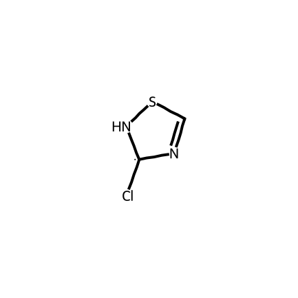 Cl[C]1N=CSN1